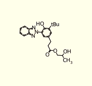 CC(O)COC(=O)CCc1cc(-n2nc3ccccc3n2)c(O)c(C(C)(C)C)c1